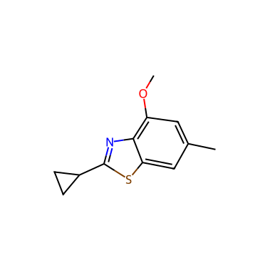 COc1cc(C)cc2sc(C3CC3)nc12